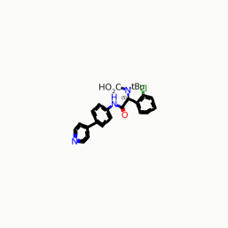 CC(C)(C)N(C(=O)O)[C@H](C(=O)Nc1ccc(-c2ccncc2)cc1)c1ccccc1Cl